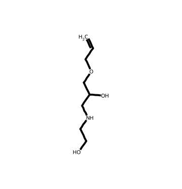 C=CCOCC(O)CNCCO